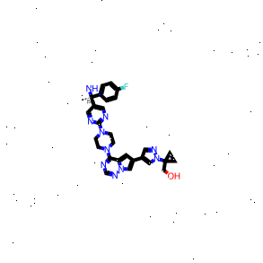 C[C@](N)(c1ccc(F)cc1)c1cnc(N2CCN(c3ncnn4cc(-c5cnn(C6(CO)CC6)c5)cc34)CC2)nc1